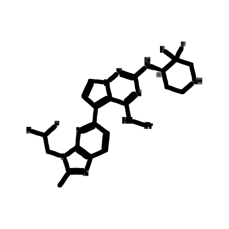 Cc1nc2ccc(-c3ccn4nc(N[C@@H]5CCNCC5(F)F)nc(NC(C)C)c34)nc2n1CC(F)F